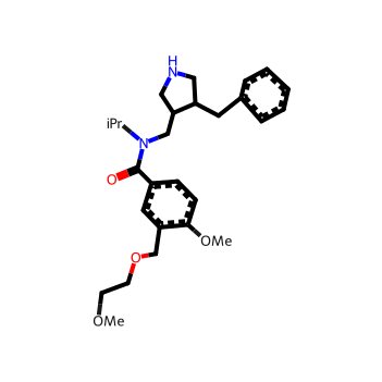 COCCOCc1cc(C(=O)N(CC2CNCC2Cc2ccccc2)C(C)C)ccc1OC